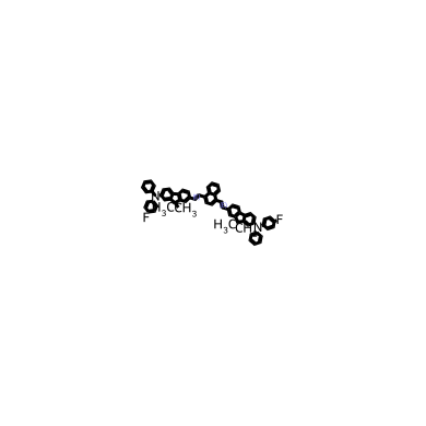 CC1(C)c2cc(/C=C/c3ccc(/C=C/c4ccc5c(c4)C(C)(C)c4cc(N(c6ccccc6)c6ccc(F)cc6)ccc4-5)c4ccccc34)ccc2-c2ccc(N(c3ccccc3)c3ccc(F)cc3)cc21